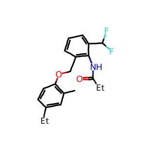 CCC(=O)Nc1c(COc2ccc(CC)cc2C)cccc1C(F)F